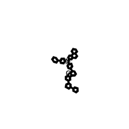 c1ccc(-c2ccc(N(c3ccc(-c4cccc5c4oc4ccc(-c6cccc(-c7ccccc7)c6)cc45)cc3)c3ccc4c(ccc5ccccc54)c3)cc2)cc1